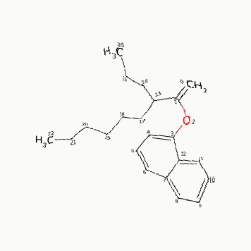 C=C(Oc1cccc2ccccc12)C(CCC)CCCCCC